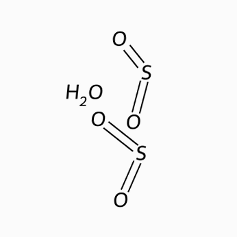 O.O=S=O.O=S=O